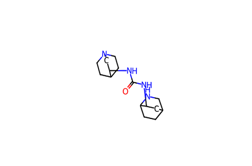 O=C(NC1CN2CCC1CC2)NC1CC2CCC1NC2